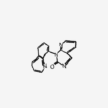 O=c1ncc2cccnc2n1-c1cccc2cccnc12